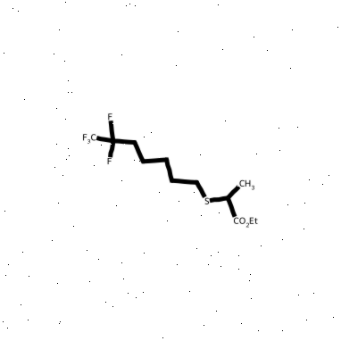 CCOC(=O)C(C)SCCCCCC(F)(F)C(F)(F)F